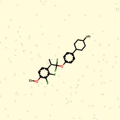 CCCC1CCC(c2ccc(OC(F)(F)C(C)c3ccc(OCC)c(F)c3F)cc2)CC1